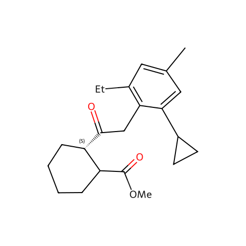 CCc1cc(C)cc(C2CC2)c1CC(=O)[C@H]1CCCCC1C(=O)OC